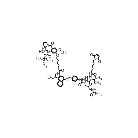 COc1cc2c(cc1OCCCCCC(=O)N1C[C@H](CCl)c3c1cc(OCc1ccc(NC(=O)[C@H](CCCNC(N)=O)NC(=O)[C@@H](NC(=O)CCCCCN4C(=O)C=CC4=O)C(C)C)cc1)c1ccccc31)N(C(=O)OC(C)(C)C)[C@@H](O)[C@@H]1CCCN1C2=O